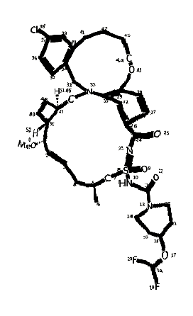 CO[C@H]1/C=C/C[C@H](C)CS(=O)(NC(=O)N2CCC(OC(F)F)CC2)=NC(=O)c2ccc3c(c2)N(Cc2ccc(Cl)cc2CCCCO3)C[C@@H]2CC[C@H]21